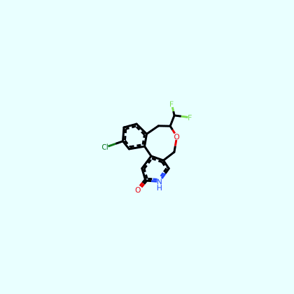 O=c1cc2c(c[nH]1)COC(C(F)F)Cc1ccc(Cl)cc1-2